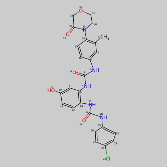 Cc1cc(NC(=O)Nc2cc(O)ccc2NC(=O)Nc2ccc(Cl)cc2)ccc1N1CCOCC1=O